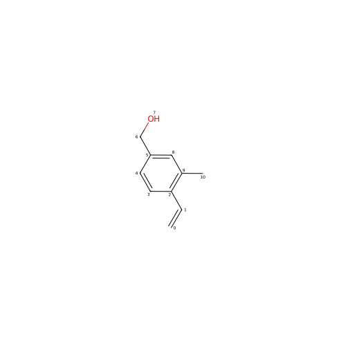 C=Cc1ccc(CO)cc1C